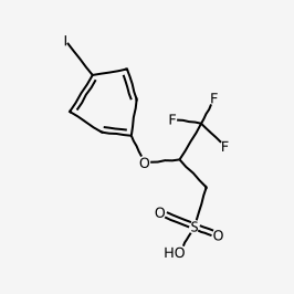 O=S(=O)(O)CC(Oc1ccc(I)cc1)C(F)(F)F